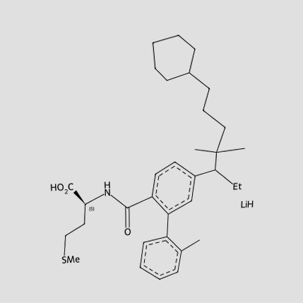 CCC(c1ccc(C(=O)N[C@@H](CCSC)C(=O)O)c(-c2ccccc2C)c1)C(C)(C)CCCC1CCCCC1.[LiH]